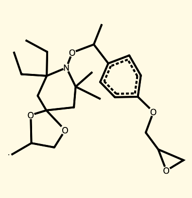 [CH2]C1COC2(CC(C)(C)N(OC(C)c3ccc(OCC4CO4)cc3)C(CC)(CC)C2)O1